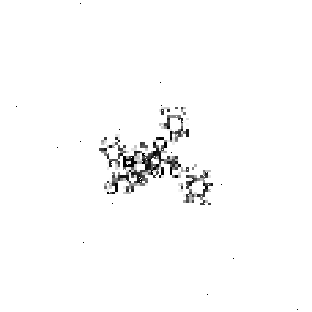 C[C@@]1(OCc2ccccc2)[C@H](OCc2ccccc2)[C@@H](COCc2ccccc2)O[C@H]1c1ccc(C=O)n1N